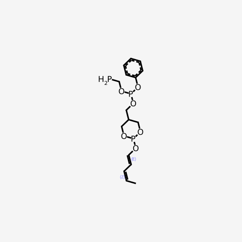 C/C=C\C=C\OP1OCC(COP(OCP)Oc2ccccc2)CO1